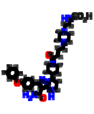 NC(=O)c1c(-c2ccc(Oc3ccccc3)cc2)nn2c1NCCC2C1CCN(C(=O)C=CCN2CCN(CCNC(=O)O)CC2)CC1